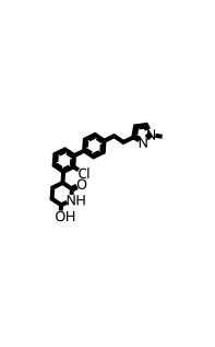 Cn1ccc(CCc2ccc(-c3cccc(C4CCC(O)NC4=O)c3Cl)cc2)n1